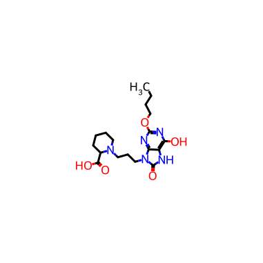 CCCCOc1nc(O)c2[nH]c(=O)n(CCCN3CCCCC3C(=O)O)c2n1